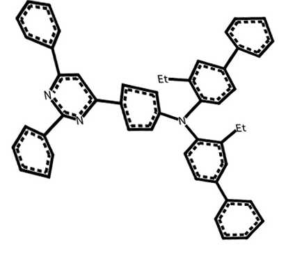 CCc1cc(-c2ccccc2)ccc1N(c1ccc(-c2cc(-c3ccccc3)nc(-c3ccccc3)n2)cc1)c1ccc(-c2ccccc2)cc1CC